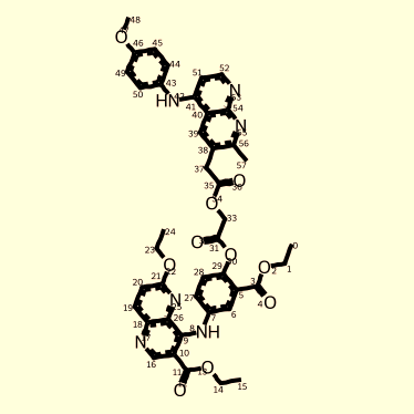 CCOC(=O)c1cc(Nc2c(C(=O)OCC)cnc3ccc(OCC)nc23)ccc1OC(=O)COC(=O)Cc1cc2c(Nc3ccc(OC)cc3)ccnc2nc1C